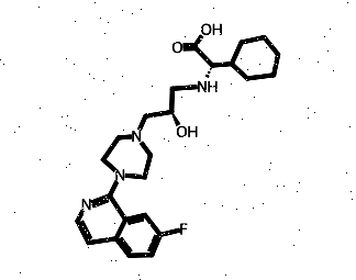 O=C(O)[C@@H](NC[C@@H](O)CN1CCN(c2nccc3ccc(F)cc23)CC1)C1CCCCC1